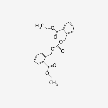 CCOC(=O)c1ccccc1COC(=O)OCc1ccccc1C(=O)OCC